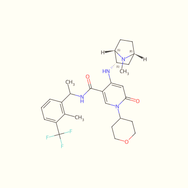 Cc1c(C(C)NC(=O)c2cn(C3CCOCC3)c(=O)cc2N[C@H]2C[C@H]3CC[C@@H]2N3C)cccc1C(F)(F)F